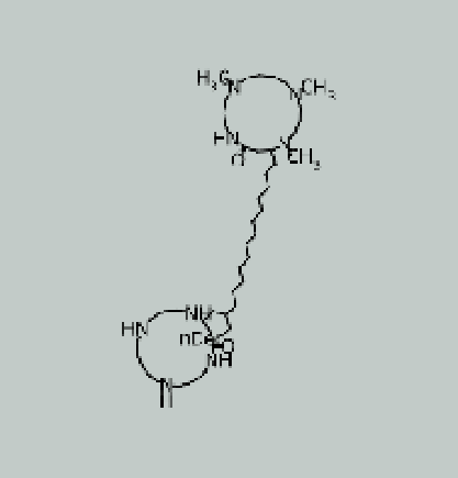 CCCCCCCCCCCC(CCCCCCCCCCCCCC1CC(=O)NCCCN(C)CCCCN(C)CCCN1C)CC1CC(=O)NCCCNCCCCNCCCN1